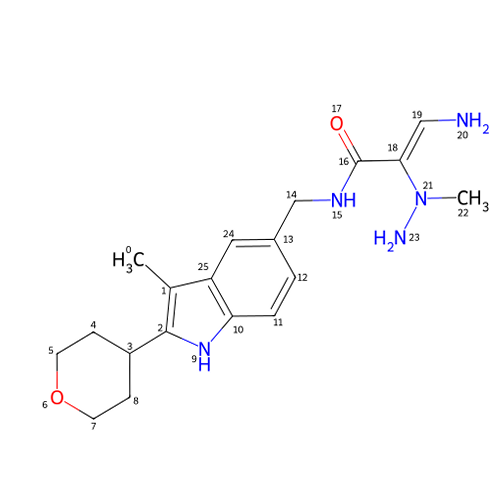 Cc1c(C2CCOCC2)[nH]c2ccc(CNC(=O)/C(=C/N)N(C)N)cc12